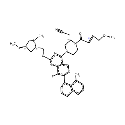 COC/C=C/C(=O)N1CCN(c2nc(OC[C@@H]3C[C@@H](OC)CN3C)nc3c(F)c(-c4cccc5cccc(C)c45)ncc23)C[C@@H]1CC#N